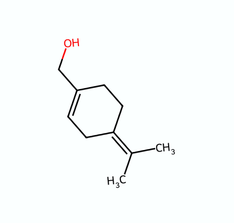 CC(C)=C1CC=C(CO)CC1